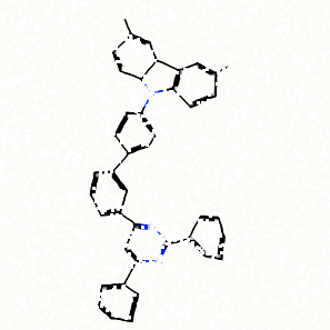 CCC1=CC2c3cc(CC)ccc3N(c3ccc(-c4cccc(-c5cc(-c6ccccc6)nc(-c6ccccc6)n5)c4)cc3)C2C=C1